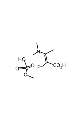 CCC(C(=O)O)=C(C)N(C)C.COS(=O)(=O)O